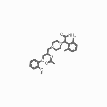 COc1ccccc1OCC(CN1CCN(C(C(N)=O)c2c(C)cccc2C)CC1)OC(C)=O